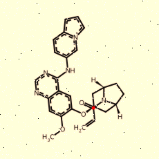 C=CC(=O)N1[C@@H]2CC[C@H]1C[C@H](Oc1cc3c(Nc4ccc5cccn5c4)ncnc3cc1OC)C2